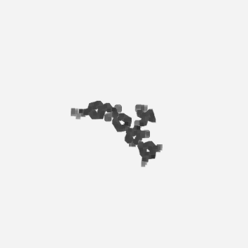 Nc1ccc(CS(=O)(=O)N2CCN(c3cnn(-c4cc(F)cc(F)c4)c(=O)c3OCC3(CO)CC3)CC2)cc1